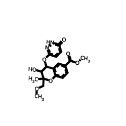 COCC1(C)Oc2ccc(C(=O)OC)cc2C(Oc2ccc(=O)[nH]n2)C1O